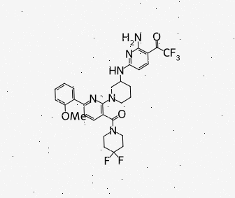 COc1ccccc1-c1ccc(C(=O)N2CCC(F)(F)CC2)c(N2CCCC(Nc3ccc(C(=O)C(F)(F)F)c(N)n3)C2)n1